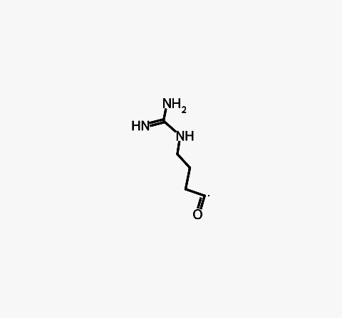 N=C(N)NCCC[C]=O